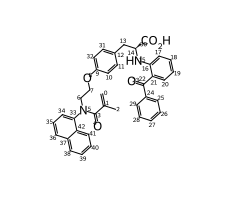 C=C(C)C(=O)N(CCOc1ccc(C[C@H](Nc2ccccc2C(=O)c2ccccc2)C(=O)O)cc1)c1cccc2ccccc12